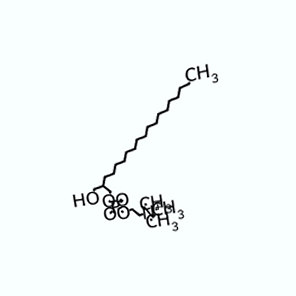 CCCCCCCCCCCCCCCCCC(CO)COP(=O)([O-])OCC[N+](C)(C)C